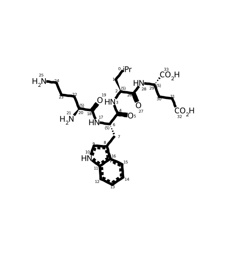 CC(C)C[C@H](NC(=O)[C@H](Cc1c[nH]c2ccccc12)NC(=O)[C@@H](N)CCCN)C(=O)N[C@@H](CCC(=O)O)C(=O)O